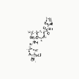 Cc1cc(S(=O)(=O)Nc2ncns2)ccc1C(=O)NCc1ccc(C(F)(F)F)c(Cl)c1